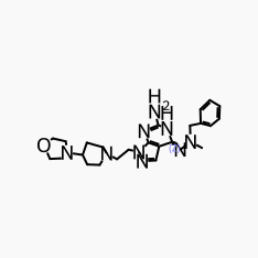 CN(Cc1ccccc1)/N=c1\[nH]c(N)nc2c1cnn2CCN1CCC(N2CCOCC2)CC1